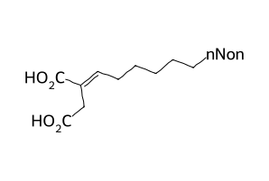 CCCCCCCCCCCCCCC=C(CC(=O)O)C(=O)O